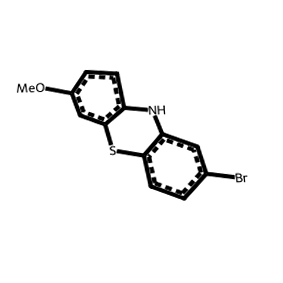 COc1ccc2c(c1)Sc1ccc(Br)cc1N2